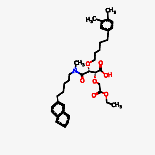 CCOC(=O)CO[C@@H](C(=O)O)[C@@H](OCCCCCc1ccc(C)c(C)c1)C(=O)N(C)CCCCCc1ccc2ccccc2c1